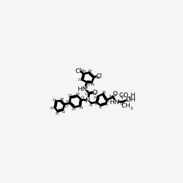 C[C@](O)(NC(=O)c1ccc(CN(C(=O)Nc2cc(Cl)cc(Cl)c2)c2ccc(-c3ccccc3)cc2)cc1)C(=O)O